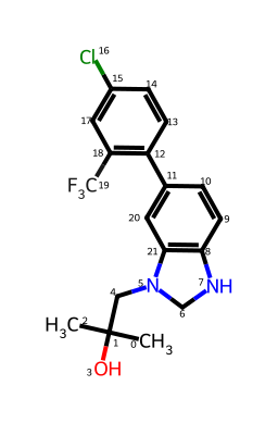 CC(C)(O)CN1CNc2ccc(-c3ccc(Cl)cc3C(F)(F)F)cc21